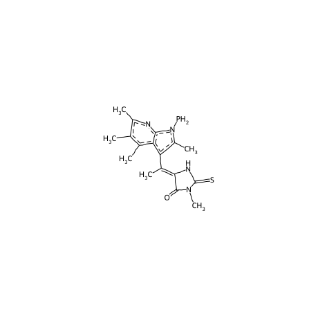 C/C(=C1/NC(=S)N(C)C1=O)c1c(C)n(P)c2nc(C)c(C)c(C)c12